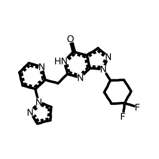 O=c1[nH]c(Cc2ncccc2-n2cccn2)nc2c1cnn2C1CCC(F)(F)CC1